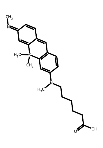 C/N=C1\C=CC2=Cc3ccc(N(C)CCCCCC(=O)O)cc3S(C)(C)C2=C1